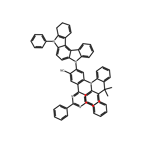 CC1(C)c2ccccc2N(c2cc(-n3c4ccccc4c4c5c6c(n(-c7ccccc7)c5ccc43)CCC=C6)c(C#N)cc2-c2nc(-c3ccccc3)nc(-c3ccccc3)n2)c2ccccc21